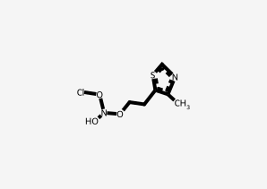 Cc1ncsc1CCON(O)OCl